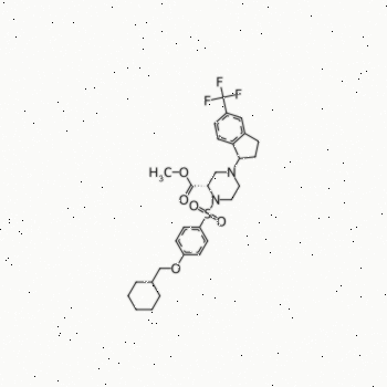 COC(=O)[C@@H]1CN(C2CCc3cc(C(F)(F)F)ccc32)CCN1S(=O)(=O)c1ccc(OCC2CCCCC2)cc1